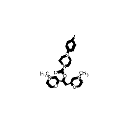 CN1CCO[C@@H](CC(OC(=O)N2CCN(c3ccc(F)cc3)CC2)[C@@H]2CN(C)CCO2)C1